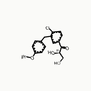 CC(C)Oc1ccc(Cc2cc(C(=O)[C@H](O)CO)ccc2Cl)cc1